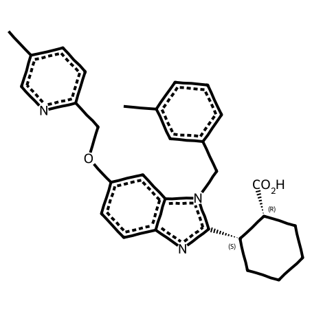 Cc1ccc(COc2ccc3nc([C@H]4CCCC[C@H]4C(=O)O)n(Cc4cccc(C)c4)c3c2)nc1